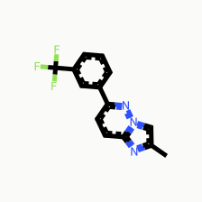 Cc1cn2nc(-c3cccc(C(F)(F)F)c3)ccc2n1